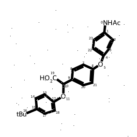 CC(=O)Nc1ccc(Oc2ccc(C(Oc3ccc(C(C)(C)C)cc3)C(=O)O)cc2)cc1